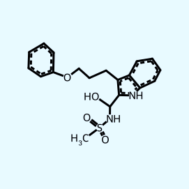 CS(=O)(=O)NC(O)c1[nH]c2ccccc2c1CCCOc1ccccc1